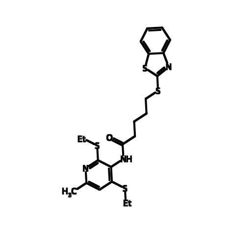 CCSc1cc(C)nc(SCC)c1NC(=O)CCCCSc1nc2ccccc2s1